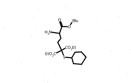 CCOC(=O)C(CCC(N)C(=O)OC(C)(C)C)(SC1CCCCC1)C(=O)OCC